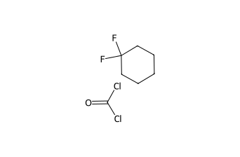 FC1(F)CCCCC1.O=C(Cl)Cl